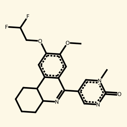 COc1cc2c(cc1OCC(F)F)C1CCCCC1N=C2c1cnc(=O)n(C)c1